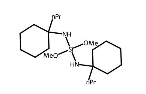 CCCC1(N[Si](NC2(CCC)CCCCC2)(OC)OC)CCCCC1